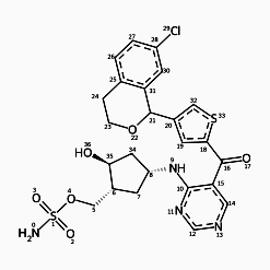 NS(=O)(=O)OC[C@H]1C[C@@H](Nc2ncncc2C(=O)c2cc(C3OCCc4ccc(Cl)cc43)cs2)C[C@@H]1O